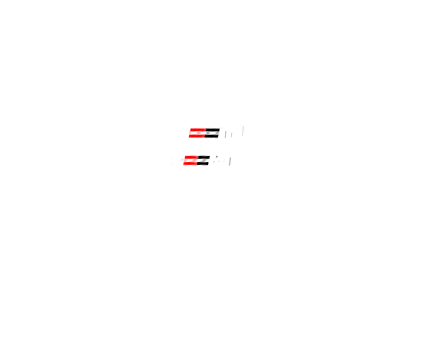 [O]=[Ag].[O]=[InH]